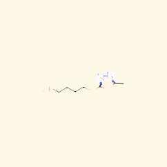 Cc1nnc(SCCCCBr)o1